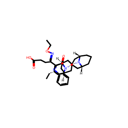 CCO/N=C(\CCC(=O)O)c1nc2ccccc2n([C@H]2C[C@H]3CCC[C@@H](C2)N3[C@H]2C[C@@H]3C[C@@H](CC)C[C@@H](C3)C2)c1=O